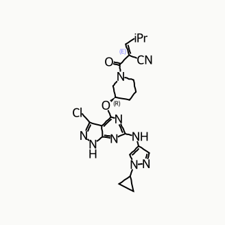 CC(C)/C=C(\C#N)C(=O)N1CCC[C@@H](Oc2nc(Nc3cnn(C4CC4)c3)nc3[nH]nc(Cl)c23)C1